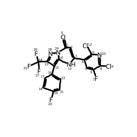 O=c1cc(-c2cc(F)c(Cl)nc2Cl)[nH]c2c(-c3ccc(F)cc3)c(C(F)(F)F)nn12